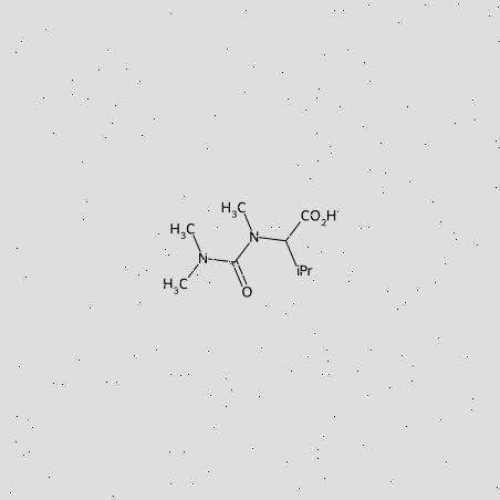 CC(C)C(C(=O)O)N(C)C(=O)N(C)C